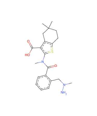 CN(N)Cc1ccccc1C(=O)N(C)c1sc2c(c1C(=O)O)CC(C)(C)CC2